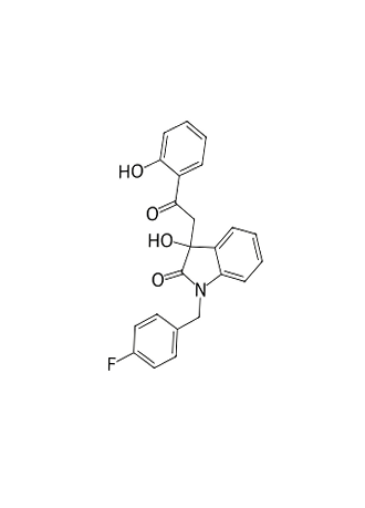 O=C(CC1(O)C(=O)N(Cc2ccc(F)cc2)c2ccccc21)c1ccccc1O